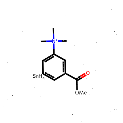 COC(=O)c1cccc([N+](C)(C)C)c1.[SnH4]